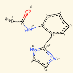 COC(=O)Nc1ccccc1-c1ncc[nH]1